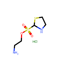 Cl.NCCOS(=O)(=O)C1NCCS1